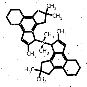 CC1=Cc2c3c(c4c(c2C1S(C)(C)C1C(C)=Cc2c5c(c6c(c21)CC(C)(C)C6)CCCC5)CC(C)(C)C4)CCCC3